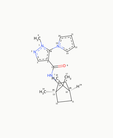 Cn1ncc(C(=O)NC2C[C@H]3CC[C@]2(C)C3(C)C)c1-n1cccc1